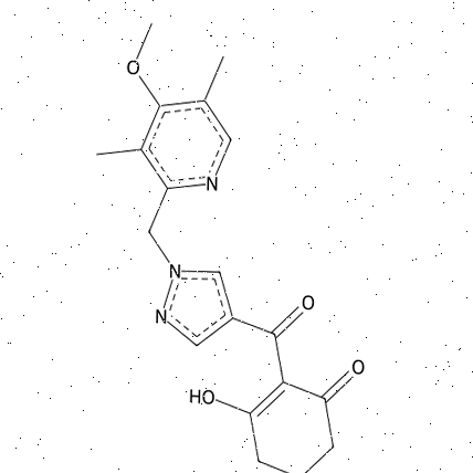 COc1c(C)cnc(Cn2cc(C(=O)C3=C(O)CCCC3=O)cn2)c1C